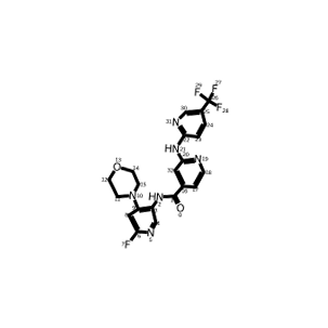 O=C(Nc1cnc(F)cc1N1CCOCC1)c1ccnc(Nc2ccc(C(F)(F)F)cn2)c1